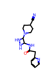 N#CC1CCN(C2NNC2NC(=O)Cc2ccccn2)CC1